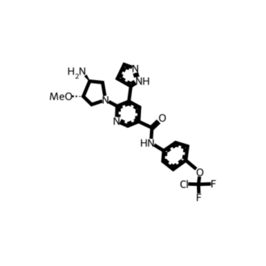 CO[C@H]1CN(c2ncc(C(=O)Nc3ccc(OC(F)(F)Cl)cc3)cc2-c2ccn[nH]2)C[C@@H]1N